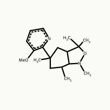 COc1cccnc1C1(C)CC(C)C2C(C1)C(C)(C)ON2C